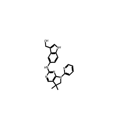 CC1(C)CN(c2ccccn2)c2nc(Nc3ccc4[nH]cc(CO)c4c3)ncc21